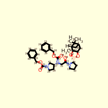 CC1(C)C2CC3OB([C@@H]4CCCN4C(=O)CN(C(=O)OCc4ccccc4)[C@@H]4CCN(C(=O)OCc5ccccc5)C4)O[C@@]3(C)[C@H]1C2